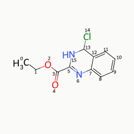 CCOC(=O)C1=Nc2ccccc2C(Cl)N1